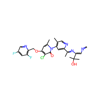 C=N/C=C(\N=C(/C)c1cc(-n2c(C)cc(OCc3ncc(F)cc3F)c(Cl)c2=O)c(C)cn1)C(C)(C)O